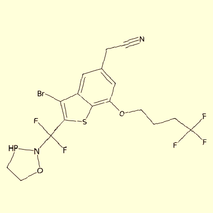 N#CCc1cc(OCCCC(F)(F)F)c2sc(C(F)(F)N3OCCP3)c(Br)c2c1